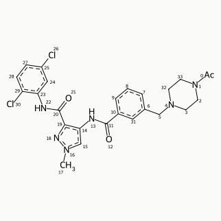 CC(=O)N1CCN(Cc2cccc(C(=O)Nc3cn(C)nc3C(=O)Nc3cc(Cl)ccc3Cl)c2)CC1